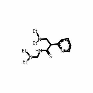 CCN(CC)CNC(=S)C(CN(CC)CC)c1ccccn1